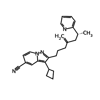 C=C(CCCc1nn2ccc(C#N)cc2c1C1CCC1)C[C@@H](C)c1ccccn1